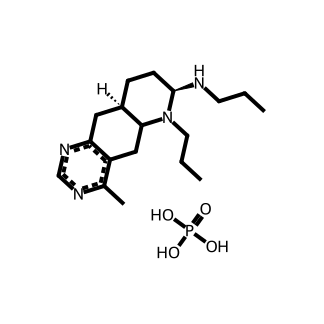 CCCN[C@@H]1CC[C@@H]2Cc3ncnc(C)c3CC2N1CCC.O=P(O)(O)O